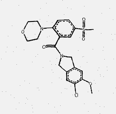 COc1cc2c(cc1Cl)CN(C(=O)c1cc(S(C)(=O)=O)ccc1N1CCOCC1)C2